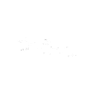 Cl.NC(CCc1ccc(OCC(O)CF)cc1)C(=O)O